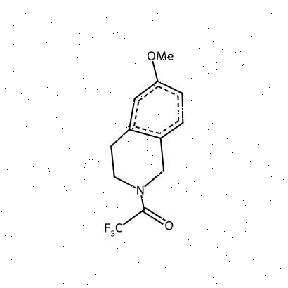 COc1ccc2c(c1)CCN(C(=O)C(F)(F)F)C2